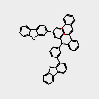 c1cc(-c2ccc3c(c2)oc2ccccc23)cc(N(c2cccc(-c3cccc4c3sc3ccccc34)c2)c2ccccc2-c2ccc3ccccc3c2)c1